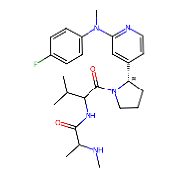 CNC(C)C(=O)NC(C(=O)N1CCC[C@H]1c1ccnc(N(C)c2ccc(F)cc2)c1)C(C)C